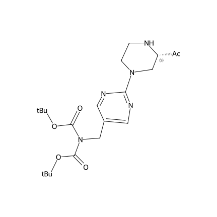 CC(=O)[C@@H]1CN(c2ncc(CN(C(=O)OC(C)(C)C)C(=O)OC(C)(C)C)cn2)CCN1